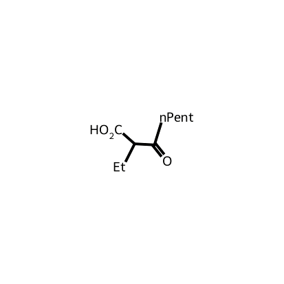 CCCCCC(=O)C(CC)C(=O)O